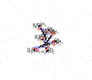 CC(C)(C)OC(=O)NCCCCC(CCCNC(=O)OC(C)(C)C)(NC(=O)OC(C)(C)C)C(CCCCCCOS(C)(=O)=O)CN(CCCC(CCCNC(=O)OC(C)(C)C)NC(=O)OC(C)(C)C)C(=O)OC(C)(C)C